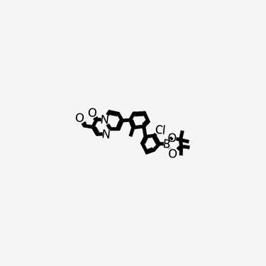 Cc1c(-c2ccn3c(=O)c(C=O)cnc3c2)cccc1-c1cccc(B2OC(C)(C)C(C)(C)O2)c1Cl